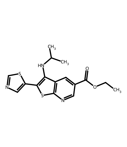 CCOC(=O)c1cnc2sc(-c3cncs3)c(NC(C)C)c2c1